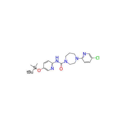 CC(C)(C)[Si](C)(C)Oc1ccc(NC(=O)N2CCCN(c3ccc(Cl)cn3)CC2)nc1